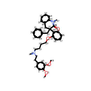 COc1ccc(CCN(C)CCCCOc2ccccc2C2(Cc3ccccc3)Cc3ccccc3N(C)C2=O)cc1OC